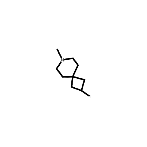 CN1CCC2(CC1)CC(I)C2